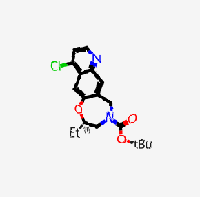 CC[C@@H]1CN(C(=O)OC(C)(C)C)Cc2cc3nccc(Cl)c3cc2O1